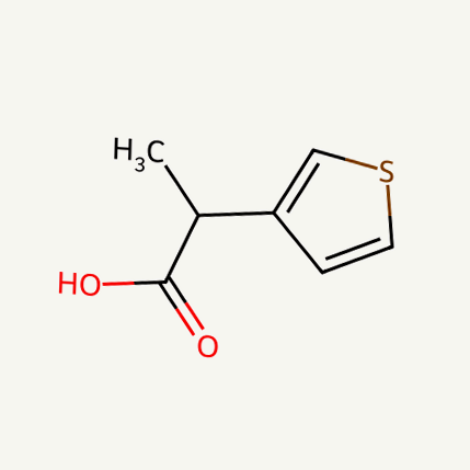 CC(C(=O)O)c1ccsc1